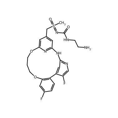 CS(=O)(Cc1cc2nc(c1)OCCCOc1cc(F)ccc1-c1cc(ncc1F)N2)=NC(=O)NCCN